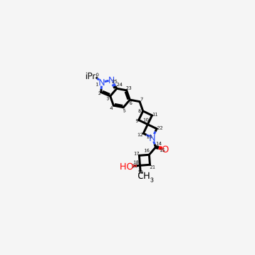 CC(C)n1cc2ccc(CC3CC4(C3)CN(C(=O)C3CC(C)(O)C3)C4)cc2n1